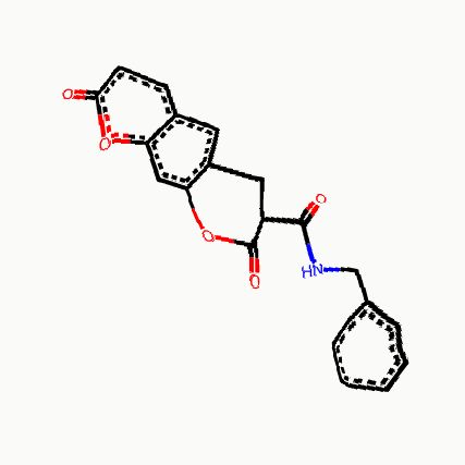 O=C(NCc1ccccc1)C1Cc2cc3ccc(=O)oc3cc2OC1=O